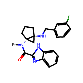 CCN(C(=O)c1nc2ccccc2[nH]1)[C@]12CCC[C@]1(NCc1cccc(F)c1)C2